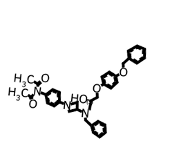 CC(=O)N(C(C)=O)c1ccc(N2CC(N(Cc3ccccc3)C[C@H](O)COc3ccc(OCc4ccccc4)cc3)C2)cc1